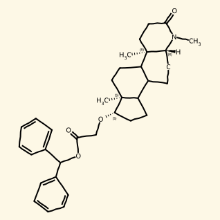 CN1C(=O)CC[C@]2(C)C3CC[C@@]4(C)C(CC[C@@H]4OCC(=O)OC(c4ccccc4)c4ccccc4)C3CC[C@@H]12